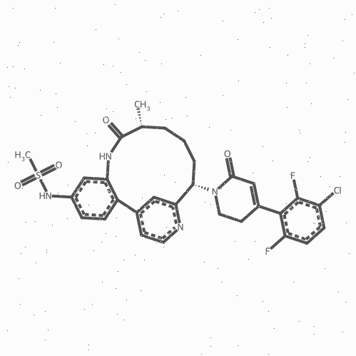 C[C@@H]1CCC[C@H](N2CCC(c3c(F)ccc(Cl)c3F)=CC2=O)c2cc(ccn2)-c2ccc(NS(C)(=O)=O)cc2NC1=O